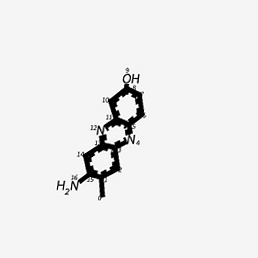 Cc1cc2nc3ccc(O)cc3nc2cc1N